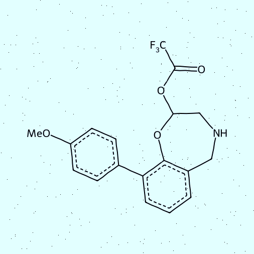 COc1ccc(-c2cccc3c2OC(OC(=O)C(F)(F)F)CNC3)cc1